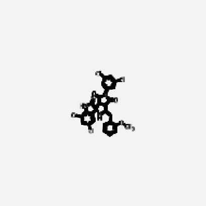 COc1ccccc1CC1NC2(C(=O)Nc3c(Cl)cc(Cl)cc32)C2C(=O)N(c3cc(Cl)cc(Cl)c3)C(=O)C12